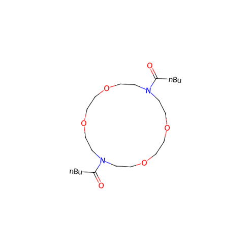 CCCCC(=O)N1CCOCCOCCN(C(=O)CCCC)CCOCCOCC1